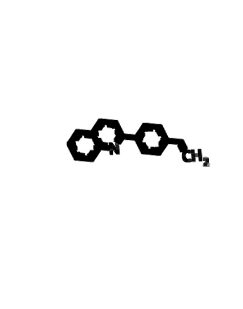 C=Cc1ccc(-c2ccc3ccccc3n2)cc1